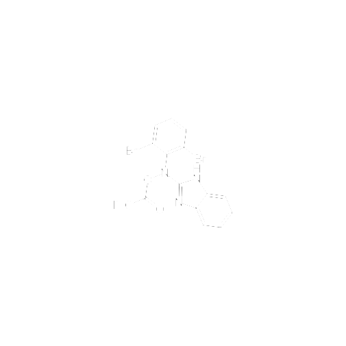 O=C(ON(c1nc2ccccc2[nH]1)c1c(Br)cccc1Br)C(F)(F)F